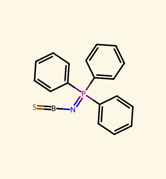 S=BN=P(c1ccccc1)(c1ccccc1)c1ccccc1